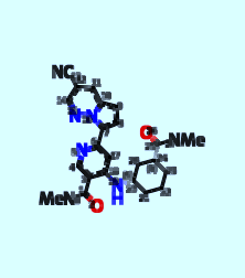 CNC(=O)c1cnc(-c2ccc3cc(C#N)cnn23)cc1N[C@H]1CCC[C@@H](C(=O)NC)C1